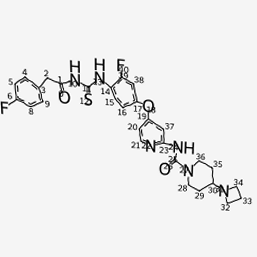 O=C(Cc1ccc(F)cc1)NC(=S)Nc1ccc(Oc2ccnc(NC(=O)N3CCC(N4CCC4)CC3)c2)cc1F